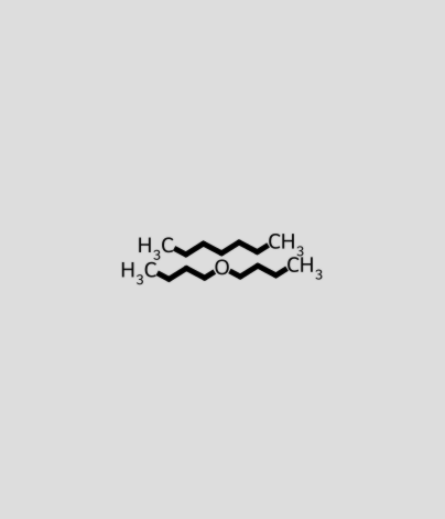 CCCCCCC.CCCCOCCCC